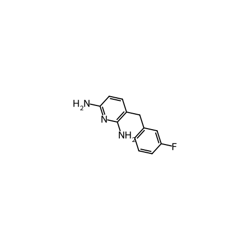 Nc1ccc(Cc2cccc(F)c2)c(N)n1